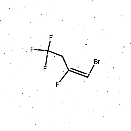 F/C(=C/Br)CC(F)(F)F